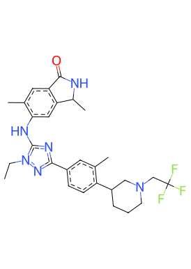 CCn1nc(-c2ccc(C3CCCN(CC(F)(F)F)C3)c(C)c2)nc1Nc1cc2c(cc1C)C(=O)NC2C